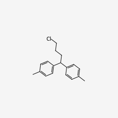 Cc1ccc(C(CCCCl)c2ccc(C)cc2)cc1